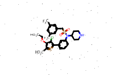 O=C(O)COc1c(C(=O)O)sc(-c2cccc(N(C3CCNCC3)S(=O)(=O)Cc3cc(C(F)(F)F)cc(C(F)(F)F)c3)c2)c1Cl